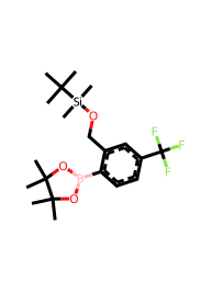 CC1(C)OB(c2ccc(C(F)(F)F)cc2CO[Si](C)(C)C(C)(C)C)OC1(C)C